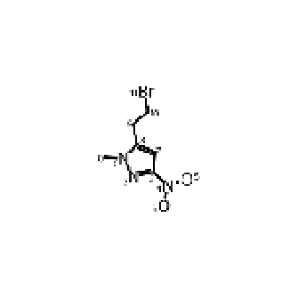 Cn1nc([N+](=O)[O-])cc1CCBr